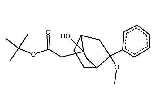 COC1(c2ccccc2)CC2CCC1CC2(O)CC(=O)OC(C)(C)C